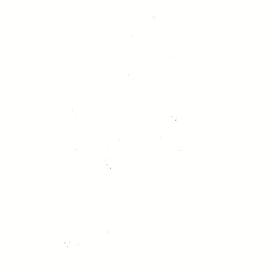 CCN1c2ccc(CO)cc2C(CS(=O)(=O)ON2CCC(C(=O)OC)CC2)=CC1(C)C